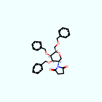 O=C1CCC(=O)N1[C@@H]1CO[C@H](COCc2ccccc2)[C@H](OCc2ccccc2)[C@@H]1OCc1ccccc1